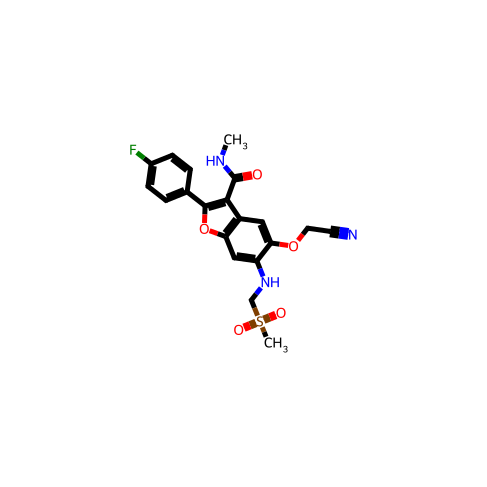 CNC(=O)c1c(-c2ccc(F)cc2)oc2cc(NCS(C)(=O)=O)c(OCC#N)cc12